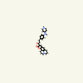 CN1CCC(N(C)c2ccc(C=CC(=O)c3cc4cc5c6c(c4oc3=O)CCCN6CCC5)cc2)CC1